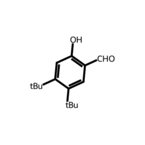 CC(C)(C)c1cc(O)c(C=O)cc1C(C)(C)C